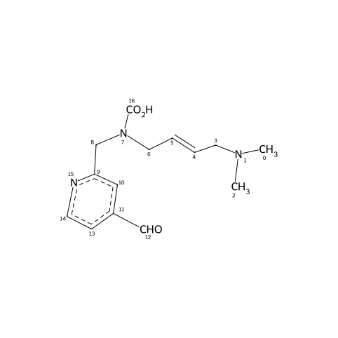 CN(C)CC=CCN(Cc1cc(C=O)ccn1)C(=O)O